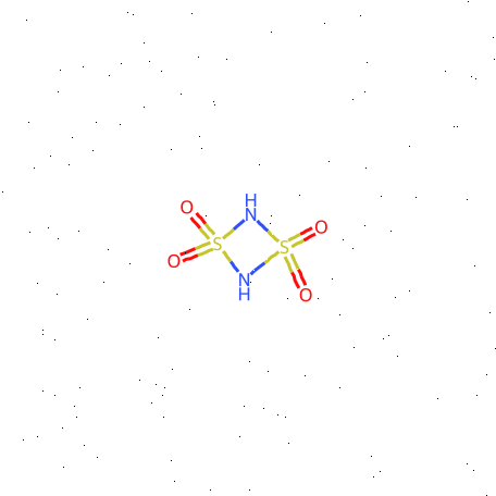 O=S1(=O)NS(=O)(=O)N1